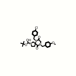 COc1ccc(CN2CC(=O)N(Cc3ccc(Cl)cc3)C3(CCN(C(O)OC(C)(C)C)C3)C2=O)cc1